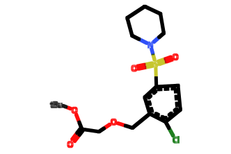 CC(C)(C)OC(=O)COCc1cc(S(=O)(=O)N2CCCCC2)ccc1Cl